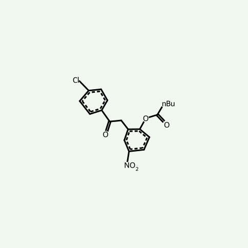 CCCCC(=O)Oc1ccc([N+](=O)[O-])cc1CC(=O)c1ccc(Cl)cc1